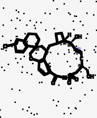 O=C1NS(=O)(=O)C[C@@H](CO)C/C=C/[C@@H](O)[C@@H]2CCC2CN2C[C@@]3(CCCc4cc(Cl)ccc43)COc3ccc1cc32